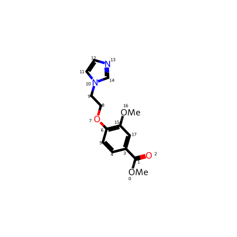 COC(=O)c1ccc(OCCn2ccnc2)c(OC)c1